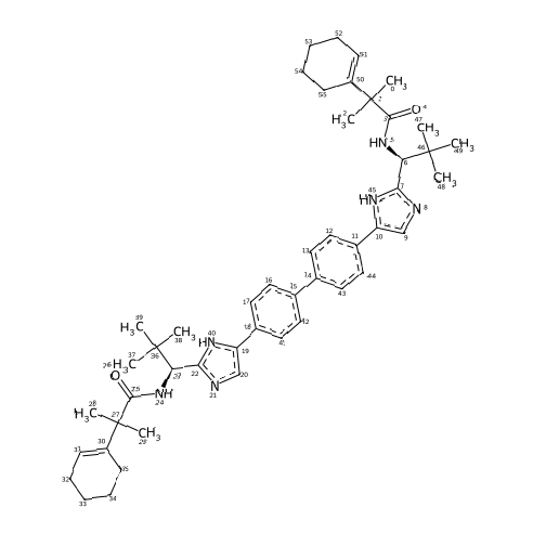 CC(C)(C(=O)N[C@H](c1ncc(-c2ccc(-c3ccc(-c4cnc([C@@H](NC(=O)C(C)(C)C5=CCCCC5)C(C)(C)C)[nH]4)cc3)cc2)[nH]1)C(C)(C)C)C1=CCCCC1